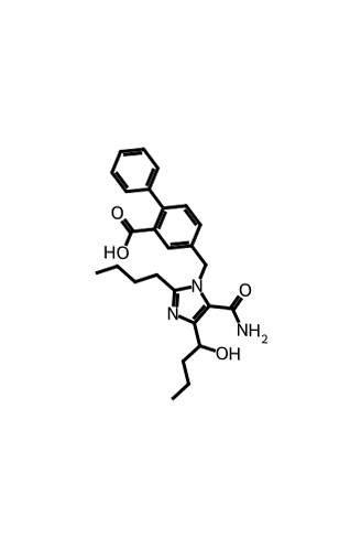 CCCCc1nc(C(O)CCC)c(C(N)=O)n1Cc1ccc(-c2ccccc2)c(C(=O)O)c1